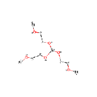 CCOCCO[Si](OCCOCC)OCCOCC